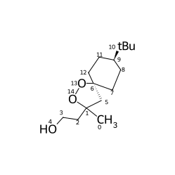 CC1(CCO)C[C@]2(CC[C@H](C(C)(C)C)CC2)OO1